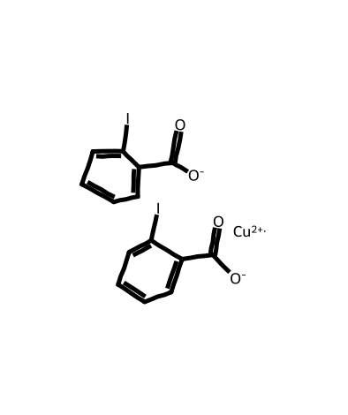 O=C([O-])c1ccccc1I.O=C([O-])c1ccccc1I.[Cu+2]